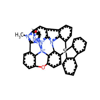 Cn1c2[n+](c3ccccc31)[N+]13c4c(cccc4-2)Oc2ccc4c(c21)-n1c2c(cccc2c2ccn[n+]3c21)[Si]41c2ccccc2-c2ccccc21